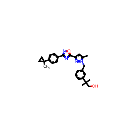 Cc1cc(-c2nc(-c3ccc(C4(C(F)(F)F)CC4)cc3)no2)nn1Cc1cccc(C(C)(C)CO)c1